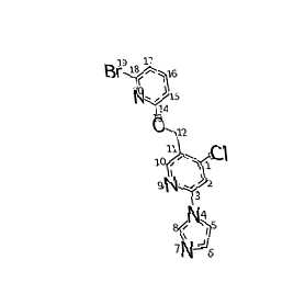 Clc1cc(-n2ccnc2)ncc1COc1cccc(Br)n1